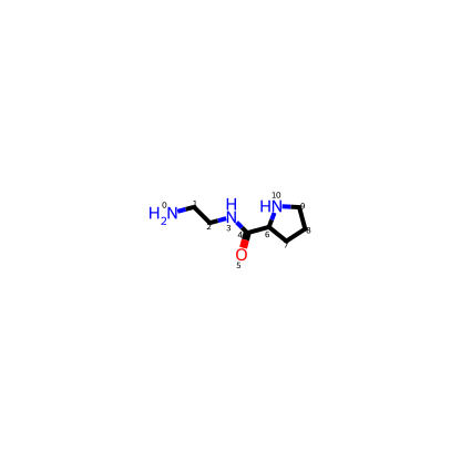 NCCNC(=O)C1CCCN1